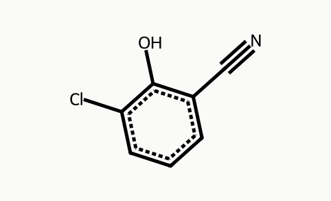 N#Cc1cccc(Cl)c1O